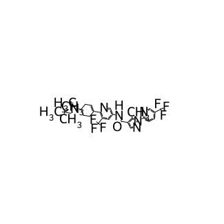 Cc1c(C(=O)Nc2cnc(C3=CCC(N(C)CC(C)(C)C)CC3)c(C(F)(F)F)c2)cnn1-c1ccc(C(F)(F)F)cn1